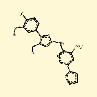 Cc1ccc(-c2nc(Nc3ncc(-c4cccs4)cc3C(=O)O)sc2CC(C)C)cc1OC(C)C